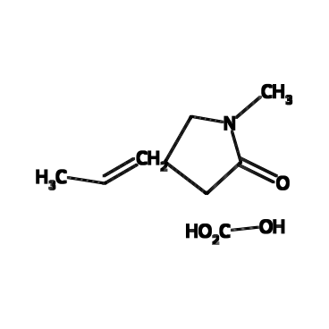 C=CC.CN1CCCC1=O.O=C(O)O